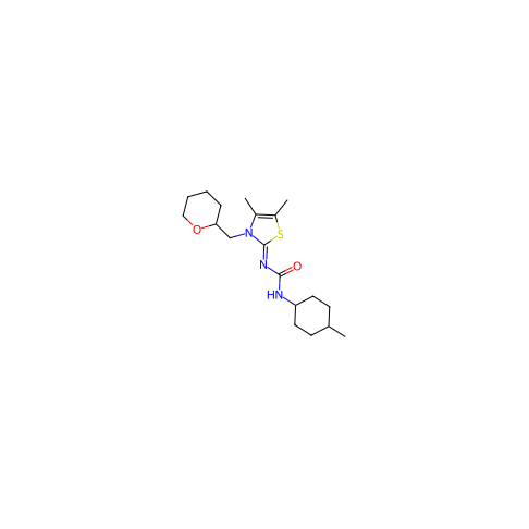 Cc1s/c(=N\C(=O)NC2CCC(C)CC2)n(CC2CCCCO2)c1C